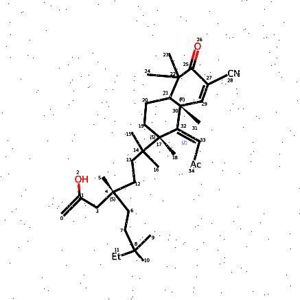 C=C(O)C[C@@](C)(CCC(C)(C)CC)CCC(C)(C)[C@]1(C)CCC2C(C)(C)C(=O)C(C#N)=C[C@]2(C)/C1=C/C(C)=O